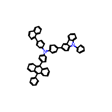 c1ccc(-c2c3ccccc3c(-c3ccc(N(c4ccc(-c5ccc6c(c5)c5ccccc5n6-c5ccccc5)cc4)c4ccc(-c5cccc6ccccc56)cc4)cc3)c3ccccc23)cc1